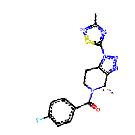 Cc1nsc(-n2nnc3c2CCN(C(=O)c2ccc(F)cc2)[C@H]3C)n1